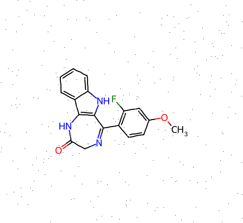 COc1ccc(C2=NCC(=O)Nc3c2[nH]c2ccccc32)c(F)c1